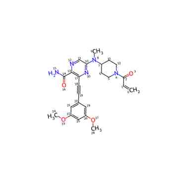 C=CC(=O)N1CCC(N(C)c2cnc(C(N)=O)c(C#Cc3cc(OC)cc(OC)c3)n2)CC1